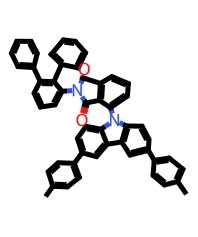 Cc1ccc(-c2ccc3c(c2)c2cc(-c4ccc(C)cc4)ccc2n3-c2cccc3c2C(=O)N(c2cccc(-c4ccccc4)c2-c2ccccc2)C3=O)cc1